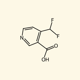 O=C(O)c1cnccc1C(F)F